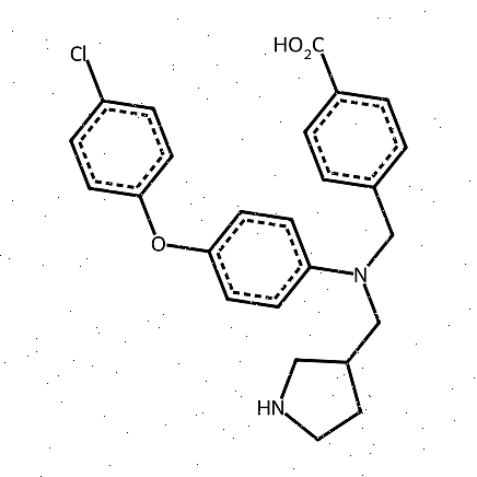 O=C(O)c1ccc(CN(CC2CCNC2)c2ccc(Oc3ccc(Cl)cc3)cc2)cc1